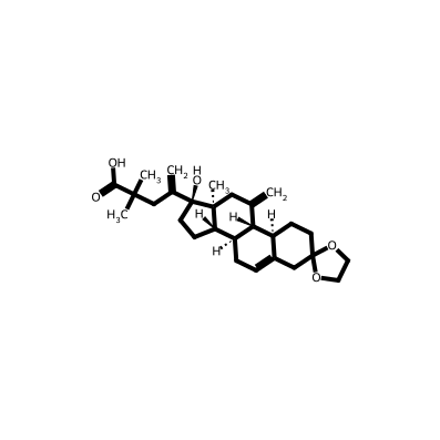 C=C1C[C@@]2(C)[C@@H](CC[C@]2(O)C(=C)CC(C)(C)C(=O)O)[C@@H]2CC=C3CC4(CC[C@@H]3[C@@H]12)OCCO4